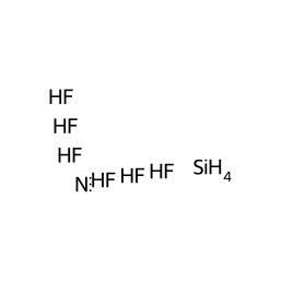 F.F.F.F.F.F.[N].[SiH4]